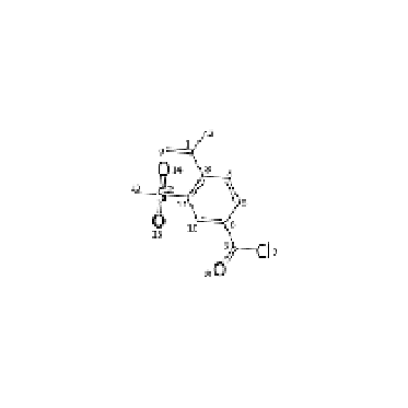 C=C(C)c1ccc(C(=O)Cl)cc1S(C)(=O)=O